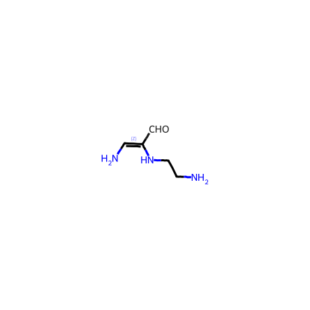 N/C=C(/C=O)NCCN